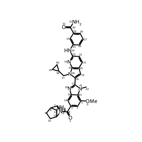 COc1cc(C(=O)N2CC3CCC2[C@@H]3N)cc2nc(-c3cc4ccc(Nc5cccc(C(N)=O)c5)nc4n3CC3CC3)n(C)c12